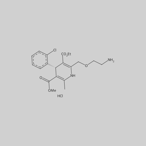 CCOC(=O)C1=C(COCCN)NC(C)=C(C(=O)OC)[C@@H]1c1ccccc1Cl.Cl